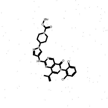 C=C(C)c1cn(-c2c(Cl)cccc2Cl)c(=O)c2cnc(Nc3cnn(C4CCN(C(=O)OC(C)(C)C)CC4)c3)nc12